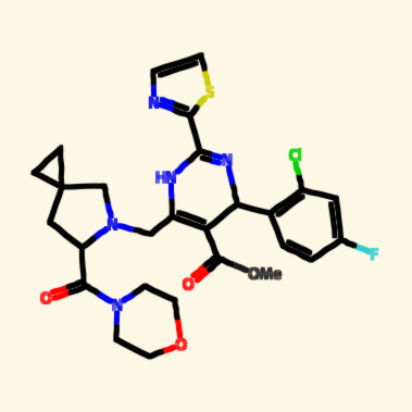 COC(=O)C1=C(CN2CC3(CC3)CC2C(=O)N2CCOCC2)NC(c2nccs2)=NC1c1ccc(F)cc1Cl